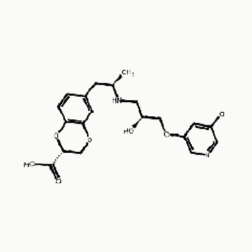 C[C@H](Cc1ccc2c(c1)OC[C@H](C(=O)O)O2)NC[C@H](O)COc1cncc(Cl)c1